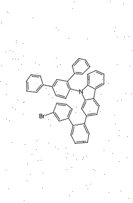 Brc1cccc(-c2ccccc2-c2ccc3c4ccccc4n(-c4ccc(-c5ccccc5)cc4-c4ccccc4)c3c2)c1